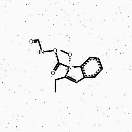 CCC1=Cc2ccccc2[N@+]1(OC)C(=O)ONC=O